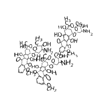 COc1cccc2c1C(=O)c1c(O)c3c(c(O)c1C2=O)C[C@@](O)(C(C)=O)C[C@@H]3O[C@H]1C[C@H](N)[C@H](O)[C@H](C)O1.COc1cccc2c1C(=O)c1c(O)c3c(c(O)c1C2=O)C[C@@](O)(C(C)=O)C[C@@H]3O[C@H]1C[C@H](N)[C@H](O)[C@H](C)O1.COc1cccc2c1C(=O)c1c(O)c3c(c(O)c1C2=O)C[C@@](O)(C(C)=O)C[C@@H]3O[C@H]1C[C@H](N)[C@H](O)[C@H](C)O1